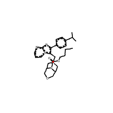 CCCCOC(=O)N1C2COCC1CN(Cc1c(-c3ccc(C(C)C)cc3)nc3ncccn13)C2